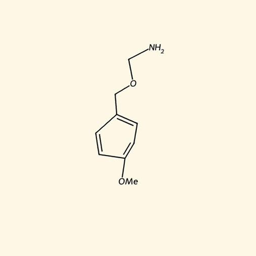 COc1ccc(COCN)cc1